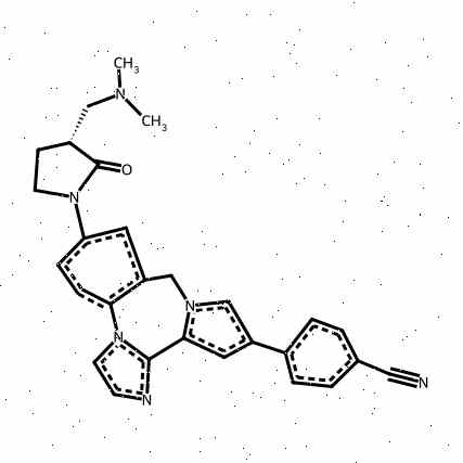 CN(C)C[C@H]1CCN(c2ccc3c(c2)Cn2cc(-c4ccc(C#N)cc4)cc2-c2nccn2-3)C1=O